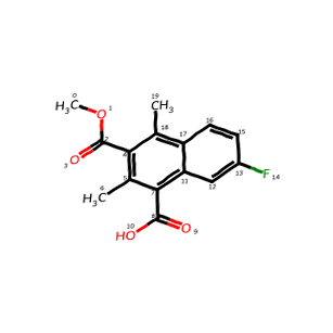 COC(=O)c1c(C)c(C(=O)O)c2cc(F)ccc2c1C